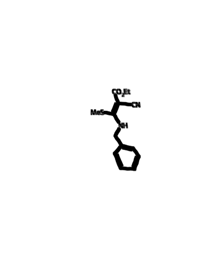 CCOC(=O)/C(C#N)=C(/NCc1ccccc1)SC